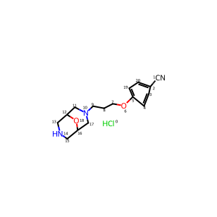 Cl.N#Cc1ccc(OCCCN2CC3CNCC(C2)O3)cc1